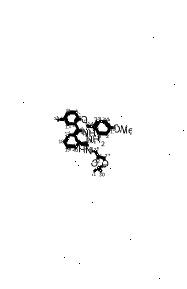 COc1ccc(COc2ccc(C)cc2/C(N)=c2\cccc\c2=C(\N)NCC2COC(C)(C)O2)cc1